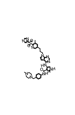 Cc1cc(CCCn2ccc3c(Nc4c[nH]nc4C(=O)Nc4ccc(CN5CCN(C)CC5)cc4)ncnc32)cnc1S(=O)(=O)n1cncn1